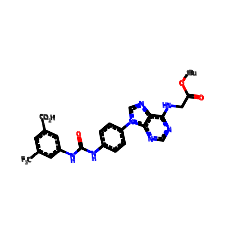 CC(C)(C)OC(=O)CNc1ncnc2c1ncn2-c1ccc(NC(=O)Nc2cc(C(=O)O)cc(C(F)(F)F)c2)cc1